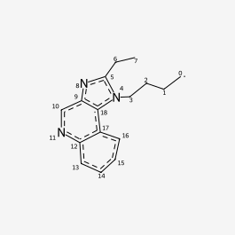 [CH2]CCCn1c(CC)nc2cnc3ccccc3c21